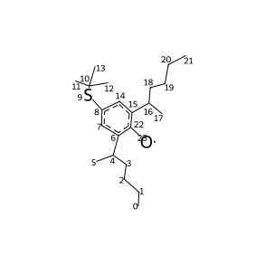 CCCCC(C)c1cc(SC(C)(C)C)cc(C(C)CCCC)c1[O]